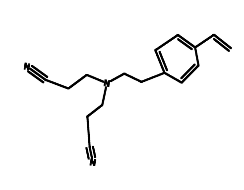 C=Cc1ccc(CCN(CCC#N)CCC#N)cc1